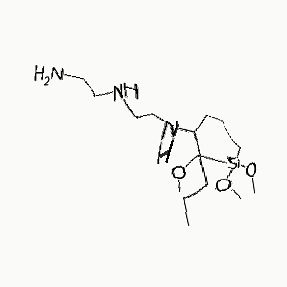 CCCC1(OC)C(NCCNCCN)CCC[Si]1(OC)OC